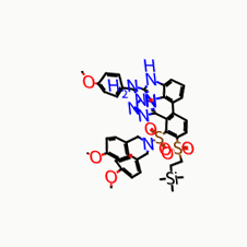 COc1ccc(CN(Cc2ccc(OC)cc2)S(=O)(=O)c2c(S(=O)(=O)CC[Si](C)(C)C)ccc(-c3cccc4[nH]c(N)nc34)c2-c2nnn(Cc3ccc(OC)cc3)n2)cc1